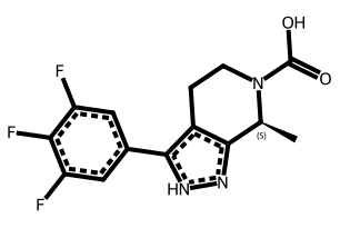 C[C@H]1c2n[nH]c(-c3cc(F)c(F)c(F)c3)c2CCN1C(=O)O